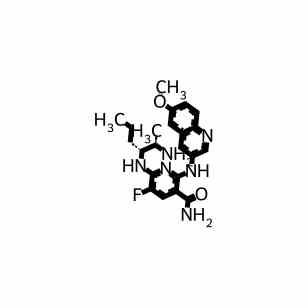 CCC[C@@H](Nc1nc(Nc2cnc3ccc(OC)cc3c2)c(C(N)=O)cc1F)[C@H](C)N